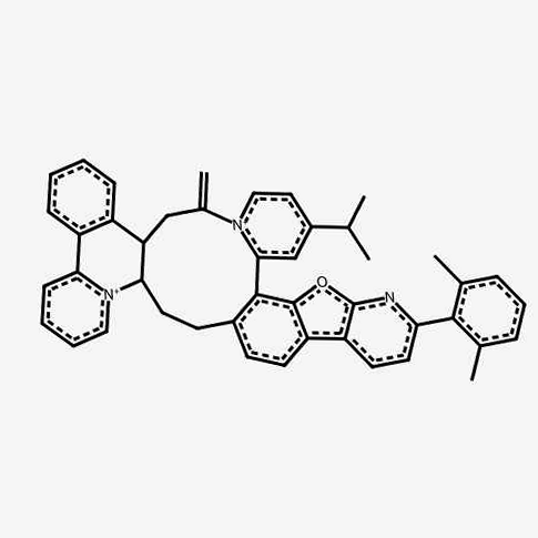 C=C1CC2c3ccccc3-c3cccc[n+]3C2CCc2ccc3c(oc4nc(-c5c(C)cccc5C)ccc43)c2-c2cc(C(C)C)cc[n+]21